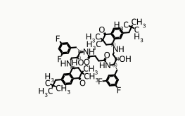 CC(C)(C)Cc1ccc2c(c1)[C@@H](NC[C@H](O)[C@H](Cc1cc(F)cc(F)c1)NC(=O)CCC(=O)N[C@@H](Cc1cc(F)cc(F)c1)[C@@H](O)CN[C@@H]1CC(C)(C)C(=O)c3ccc(CC(C)(C)C)cc31)CC(C)(C)C2=O